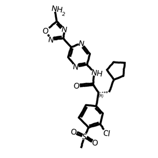 CS(=O)(=O)c1ccc([C@@H](CC2CCCC2)C(=O)Nc2cnc(-c3noc(N)n3)cn2)cc1Cl